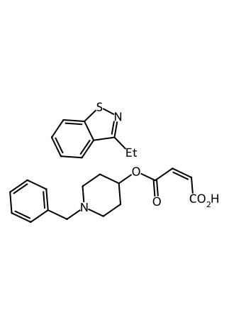 CCc1nsc2ccccc12.O=C(O)/C=C\C(=O)OC1CCN(Cc2ccccc2)CC1